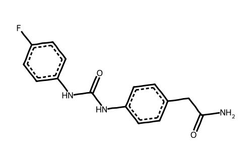 NC(=O)Cc1ccc(NC(=O)Nc2ccc(F)cc2)cc1